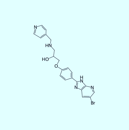 OC(CNCc1ccncc1)COc1ccc(-c2nc3cc(Br)cnc3[nH]2)cc1